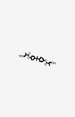 CC(=CO)C(=O)Oc1ccc(C(C)(C)c2ccc(OC(=O)C(C)=CO)cc2)cc1